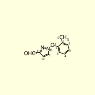 Cc1ccccc1On1ccc(C=O)n1